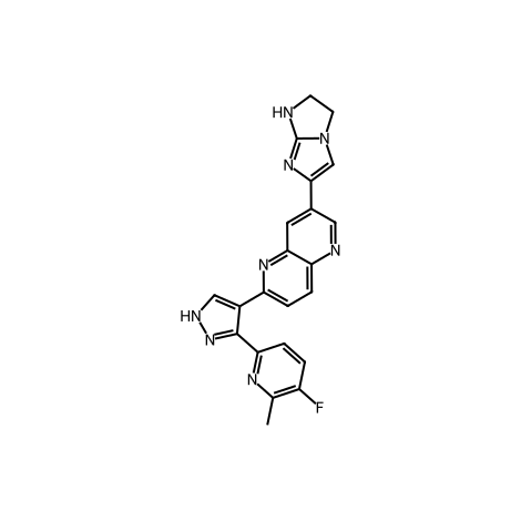 Cc1nc(-c2n[nH]cc2-c2ccc3ncc(-c4cn5c(n4)NCC5)cc3n2)ccc1F